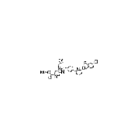 COC(=O)c1cc2c(cn1)nc(CC1CC=C(c3cccc(OCc4ccc(Cl)cc4F)n3)CC1)n2CC1CCO1